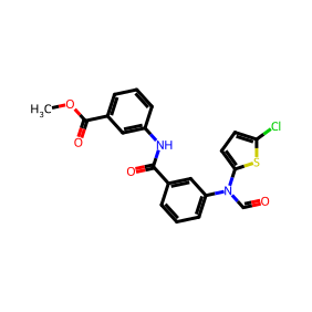 COC(=O)c1cccc(NC(=O)c2cccc(N(C=O)c3ccc(Cl)s3)c2)c1